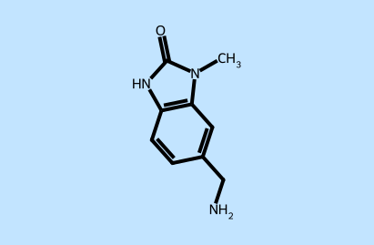 Cn1c(=O)[nH]c2ccc(CN)cc21